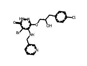 O=c1[nH]nc(OCC(O)Cc2ccc(Cl)cc2)c(NCc2cccnc2)c1Br